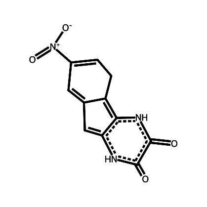 O=c1[nH]c2c([nH]c1=O)=C1CC=C([N+](=O)[O-])C=C1C=2